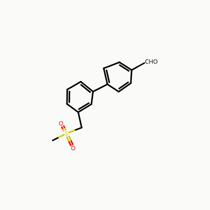 CS(=O)(=O)Cc1cccc(-c2ccc(C=O)cc2)c1